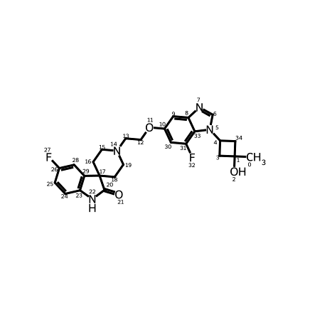 CC1(O)CC(n2cnc3cc(OCCN4CCC5(CC4)C(=O)Nc4ccc(F)cc45)cc(F)c32)C1